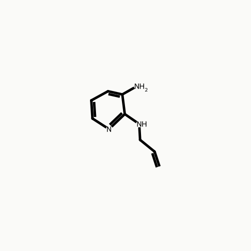 C=CCNc1ncccc1N